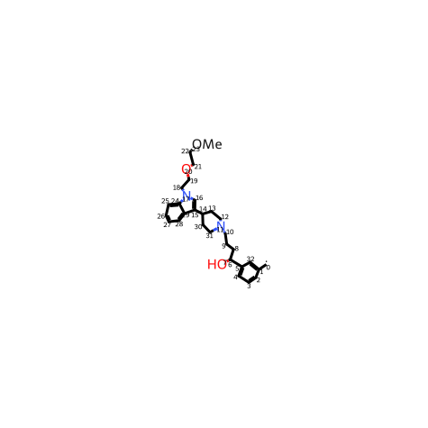 [CH2]c1cccc(C(O)CCCN2CCC(c3cn(CCOCCOC)c4ccccc34)CC2)c1